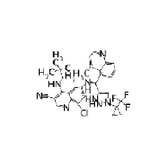 Cc1ccnc2cccc([C@H](Nc3cc(Cl)c4ncc(C#N)c(NCC(C)(C)C)c4c3)C3=CN(C4(C(F)(F)F)CC4)NN3)c12